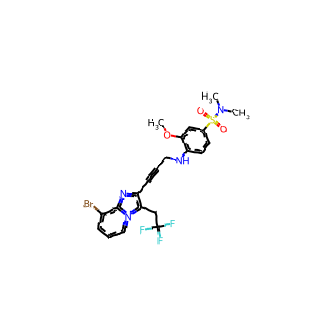 COc1cc(S(=O)(=O)N(C)C)ccc1NCC#Cc1nc2c(Br)cccn2c1CC(F)(F)F